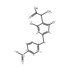 CC(C(=O)O)c1c(Cl)nc(Cc2ccc([N+](=O)[O-])c[13cH]2)nc1Cl